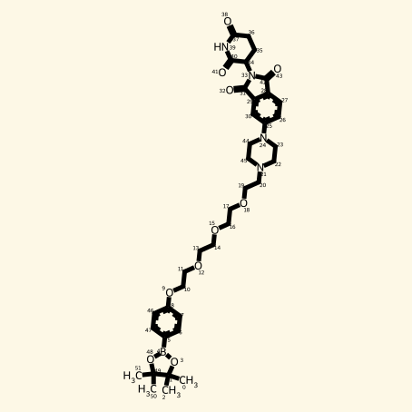 CC1(C)OB(c2ccc(OCCOCCOCCOCCN3CCN(c4ccc5c(c4)C(=O)N(C4CCC(=O)NC4=O)C5=O)CC3)cc2)OC1(C)C